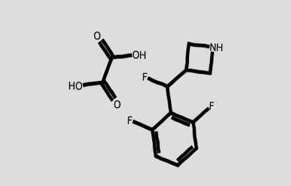 Fc1cccc(F)c1C(F)C1CNC1.O=C(O)C(=O)O